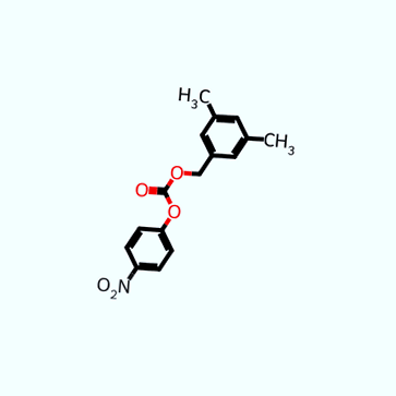 Cc1cc(C)cc(COC(=O)Oc2ccc([N+](=O)[O-])cc2)c1